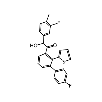 Cc1ccc(C(O)C(=O)c2cccc(-c3ccc(F)cc3)c2-c2cccs2)cc1F